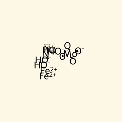 [Fe+2].[Fe+2].[N+].[N+].[OH-].[OH-].[OH-].[OH-].[O]=[Mo](=[O])([O-])[O-]